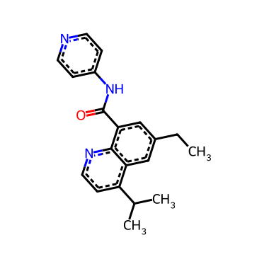 CCc1cc(C(=O)Nc2ccncc2)c2nccc(C(C)C)c2c1